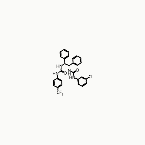 O=C(Nc1ccc(C(F)(F)F)cc1)N[C@@H](c1ccccc1)[C@@H](NC(=O)Nc1cccc(Cl)c1)c1ccccc1